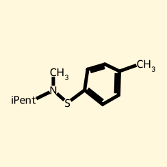 CCCC(C)N(C)Sc1ccc(C)cc1